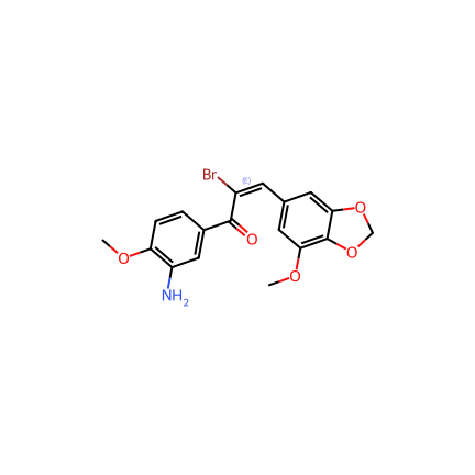 COc1ccc(C(=O)/C(Br)=C\c2cc(OC)c3c(c2)OCO3)cc1N